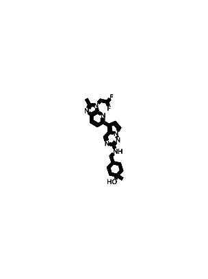 Cc1nc2ccc(-c3ccn4nc(NCC5CCC(C)(O)CC5)ncc34)nc2n1CC(F)F